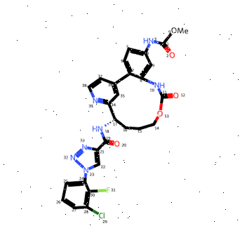 COC(=O)Nc1ccc2c(c1)NC(=O)OCCC[C@H](NC(=O)c1cn(-c3cccc(Cl)c3F)nn1)c1cc-2ccn1